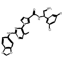 Cc1cnc(Nc2ccc3c(c2)OCO3)nc1-n1ccc(C(=O)NC(CN)c2cc(Cl)cc(Cl)c2)c1